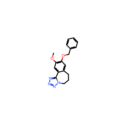 COc1cc2c(cc1OCc1ccccc1)CCCn1nnnc1-2